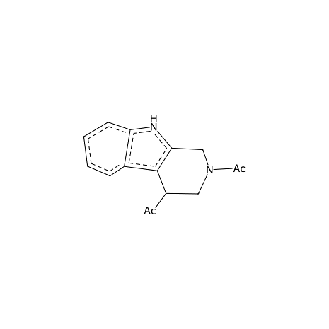 CC(=O)C1CN(C(C)=O)Cc2[nH]c3ccccc3c21